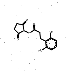 O=C(CCc1c(O)cccc1O)ON1C(=O)CCC1=O